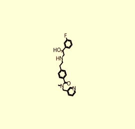 CN(Cc1cccnc1)C(=O)c1ccc(CCNC[C@H](O)c2cccc(F)c2)cc1